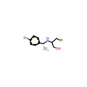 CC(C)CC(CO)N[C@@H](c1ccc(Br)cc1)C(F)(F)F